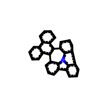 c1ccc2c(c1)c1c(c3ccccc32)-c2cccc3c4cccc5c6cccc-1c6n(c23)c54